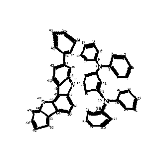 C1=C(N(c2ccccc2)c2ccccc2)C=C(N(c2ccccc2)c2ccccc2)C[C@@H]1n1c2cc(-c3ccccc3)ccc2c2c3sc4ccccc4c3ccc21